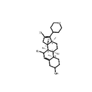 CCC1=C(C2CCOCC2)[C@@]2(C)CC[C@@H]3[C@@H](C(CC)C=C4CC(O)CC[C@@]43C)[C@@H]2C1